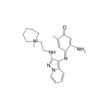 CC1=CC(=Nc2c(NCC[N+]3(C)CCCCC3)nn3ccccc23)C(N)=CC1=O